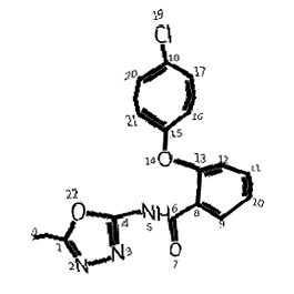 Cc1nnc(NC(=O)c2ccccc2Oc2ccc(Cl)cc2)o1